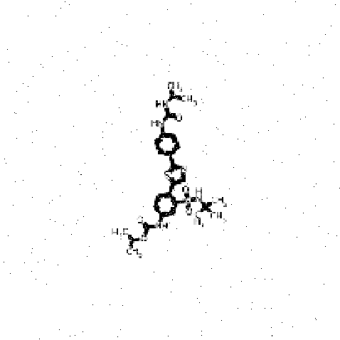 CC(C)NC(=O)Nc1ccc(-c2ncc(-c3ccc(NC(=O)OC(C)C)cc3S(=O)(=O)NC(C)(C)C)s2)cc1